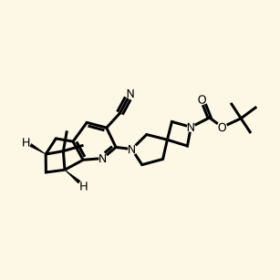 CC(C)(C)OC(=O)N1CC2(CCN(c3nc4c(cc3C#N)C[C@H]3C[C@@H]4C3(C)C)C2)C1